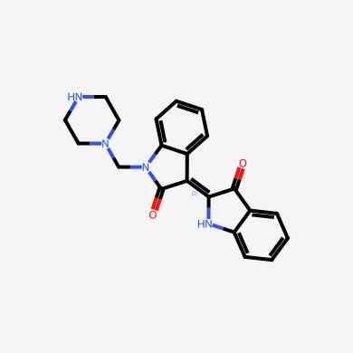 O=C1/C(=C2/C(=O)N(CN3CCNCC3)c3ccccc32)Nc2ccccc21